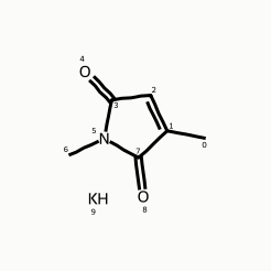 CC1=CC(=O)N(C)C1=O.[KH]